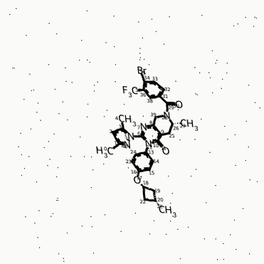 Cc1cc(C)n(-c2nc3c(c(=O)n2-c2ccc(O[C@H]4C[C@H](C)C4)cc2)C[C@@H](C)N(C(=O)c2ccc(Br)c(C(F)(F)F)c2)C3)n1